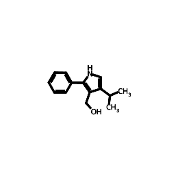 CC(C)c1c[nH]c(-c2ccccc2)c1CO